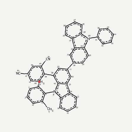 Cc1cccc(C)c1-n1c2ccccc2c2cc(-c3ccc4c(c3)c3ccccc3n4-c3ccccc3)cc(-c3ccc(C#N)cc3C#N)c21